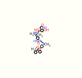 CN(CCCn1c(=O)[nH]c2cc(CC(C)(C)NC[C@H](O)c3ccc(O)c4[nH]c(=O)ccc34)ccc21)[C@H]1CC[C@H](OC(=O)C(C)(c2ccccc2)c2ccccc2)CC1